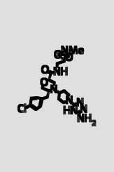 CNS(=O)(=O)CCNC(=O)[C@H]1CN(C2CCN(c3nnc(N)[nH]3)CC2)[C@@H](Cc2ccc(Cl)cc2)CO1